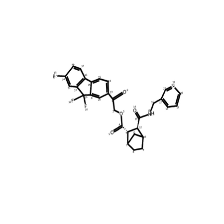 O=C(COC(=O)[C@H]1C2CCC(C2)[C@@H]1C(=O)NCc1cccnc1)c1ccc2c(c1)C(F)(F)c1cc(Br)ccc1-2